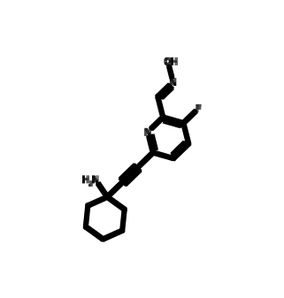 NC1(C#Cc2ccc(F)c(/C=N/O)n2)CCCCC1